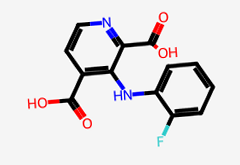 O=C(O)c1ccnc(C(=O)O)c1Nc1ccccc1F